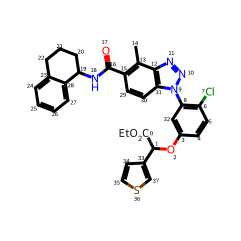 CCOC(=O)C(Oc1ccc(Cl)c(-n2nnc3c(C)c(C(=O)NC4CCCc5ccccc54)ccc32)c1)c1ccsc1